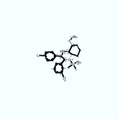 CC(C)(C)S[C@@H]1CCCC[C@H]1N[C@H](c1ccc(Cl)cc1)[C@H](O[Si](C)(C)C(C)(C)C)c1cccc(Cl)c1